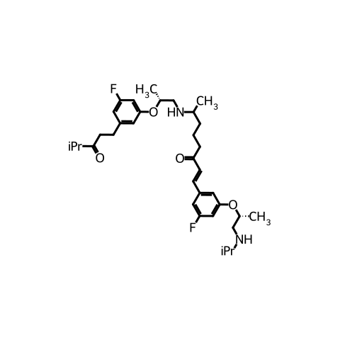 CC(C)NC[C@@H](C)Oc1cc(F)cc(/C=C/C(=O)CCCC(C)NC[C@@H](C)Oc2cc(F)cc(CCC(=O)C(C)C)c2)c1